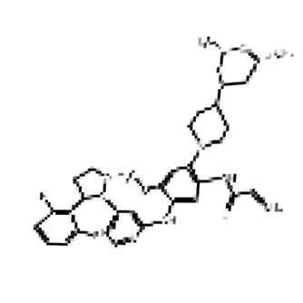 C=CC(=O)Nc1cc(Nc2cc(N3OCCC3c3c(F)cccc3F)ncn2)c(OC)cc1N1CCC(N2C[C@@H](C)O[C@@H](C)C2)CC1